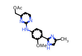 COc1cc(Nc2nccc(COC(C)=O)n2)ccc1-c1nc(C)c[nH]1